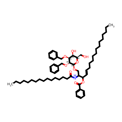 CCCCCCCCCCCCCC=CC(OC(=O)c1ccccc1)C(CO[C@@H]1O[C@H](CO)[C@H](O)[C@H](OCc2ccccc2)[C@H]1OCc1ccccc1)NC(=O)CCCCCCCCCCCCCCC